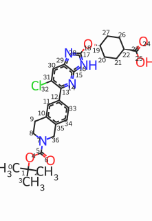 CC(C)(C)OC(=O)N1CCc2cc(-c3nc4[nH]c(O[C@H]5CC[C@H](C(=O)O)CC5)nc4cc3Cl)ccc2C1